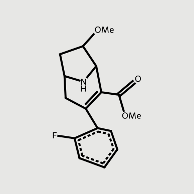 COC(=O)C1=C(c2ccccc2F)CC2CC(OC)C1N2